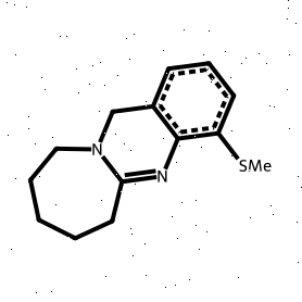 CSc1cccc2c1N=C1CCCCCN1C2